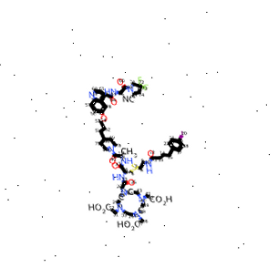 C[C@H](NC(=O)[C@H](CSCCNC(=O)CCCc1ccc(I)cc1)NC(=O)CN1CCN(CC(=O)O)CCN(CC(=O)O)CCN(CC(=O)O)CC1)C(=O)N1CCC(CCCOc2ccc3nccc(C(=O)NCC(=O)N4CC(F)(F)C[C@@H]4C#N)c3c2)CC1